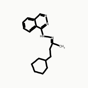 C/C(CCC1CCCCC1)=N/Nc1nncc2ccccc12